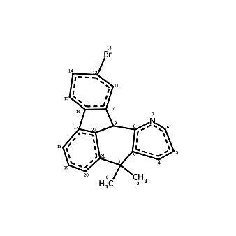 CC1(C)c2cccnc2C2c3cc(Br)ccc3-c3cccc1c32